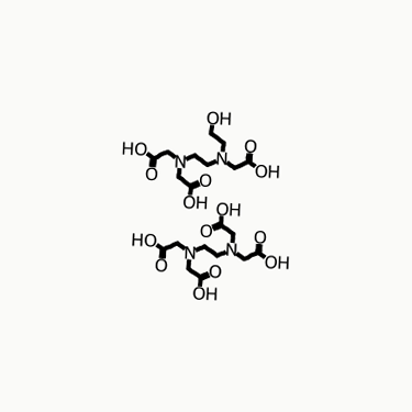 O=C(O)CN(CCN(CC(=O)O)CC(=O)O)CC(=O)O.O=C(O)CN(CCO)CCN(CC(=O)O)CC(=O)O